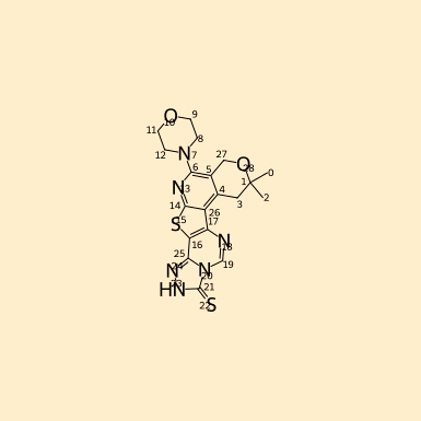 CC1(C)Cc2c(c(N3CCOCC3)nc3sc4c(ncn5c(=S)[nH]nc45)c23)CO1